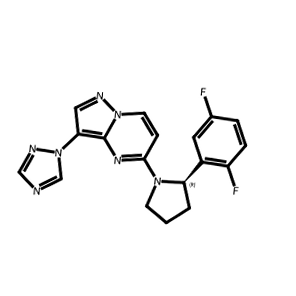 Fc1ccc(F)c([C@H]2CCCN2c2ccn3ncc(-n4cncn4)c3n2)c1